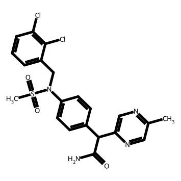 Cc1cnc(C(C(N)=O)c2ccc(N(Cc3cccc(Cl)c3Cl)S(C)(=O)=O)cc2)cn1